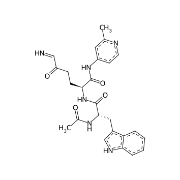 CC(=O)N[C@@H](Cc1c[nH]c2ccccc12)C(=O)N[C@@H](CCC(=O)C=N)C(=O)Nc1ccnc(C)c1